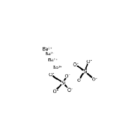 [Ba+2].[Ba+2].[Ba+2].[Ba+2].[O-][Si]([O-])([O-])[O-].[O-][Si]([O-])([O-])[O-]